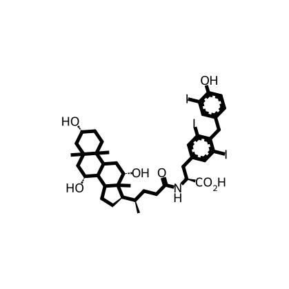 C[C@H](CCC(=O)N[C@@H](Cc1cc(I)c(Cc2ccc(O)c(I)c2)c(I)c1)C(=O)O)[C@H]1CCC2C3C(C[C@H](O)C21C)C1(C)CC[C@@H](O)CC1(C)C[C@H]3O